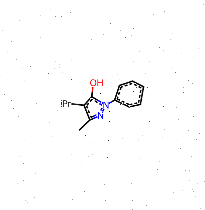 Cc1nn(-c2ccccc2)c(O)c1C(C)C